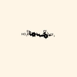 CCO[C@@H](Cc1ccc(OCC=CC#CC2(OCC(F)(F)F)C=CC=C(OCC(F)(F)F)C2)cc1)C(=O)O